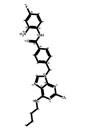 CCCCNc1nc(Cl)nc2c1ncn2Cc1ccc(C(=O)Nc2ccc(F)cc2N)cc1